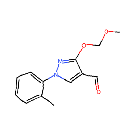 COCOc1nn(-c2ccccc2C)cc1C=O